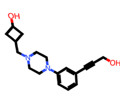 OCC#Cc1cccc(N2CCN(CC3CC(O)C3)CC2)c1